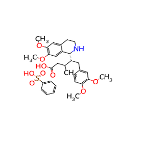 COc1ccc(CC(C(C)CC(=O)O)[C@H]2NCCc3cc(OC)c(OC)cc32)cc1OC.O=S(=O)(O)c1ccccc1